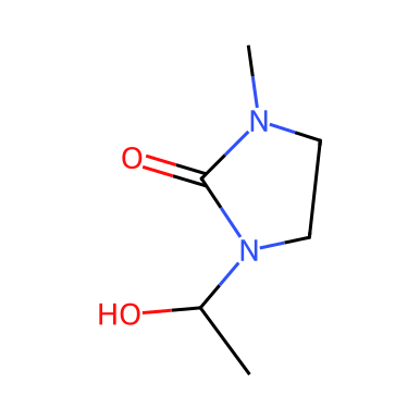 CC(O)N1CCN(C)C1=O